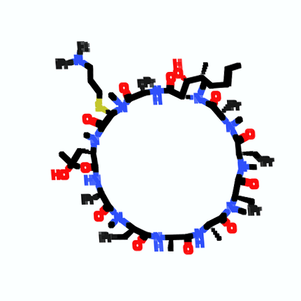 C/C=C/C[C@@H](C)[C@@H](O)[C@H]1C(=O)N[C@@H](CCC)C(=O)N(C)[C@H](SCCCN(CC)C(C)C)C(=O)N(C)[C@@H](CC(C)(C)O)C(=O)N[C@H](C(C)C)C(=O)N(C)[C@H](CC(C)C)C(=O)N[C@H](C)C(=O)N[C@@H](C)C(=O)N(C)[C@H](CC(C)C)C(=O)N(C)[C@@H](CC(C)C)C(=O)N(C)[C@@H](C(C)C)C(=O)N1C